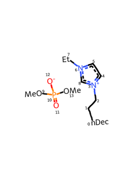 CCCCCCCCCCCC[n+]1ccn(CC)c1.COP(=O)([O-])OC